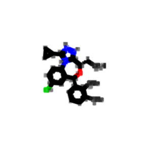 COc1cccc([C@@H]2O[C@@H](CC(=O)O)c3nnc(C4CC4)n3-c3ccc(Cl)cc32)c1OC